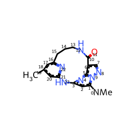 CNc1cc2nc3c(cnn13)C(=O)NCCCc1cc(C)cc(n1)N2